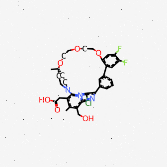 Cc1c(CC(=O)O)c2n3c(Cl)c(nc3c1CO)-c1cccc(c1)-c1cc(F)c(F)cc1OCCOCCOC1(C)CCN2CC1